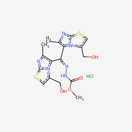 COC(=O)NN=C(c1c(C)nc2scc(CO)n12)c1c(C)nc2scc(CO)n12.Cl